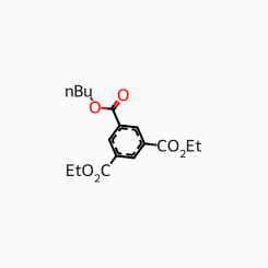 CCCCOC(=O)c1cc(C(=O)OCC)cc(C(=O)OCC)c1